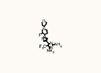 Nc1nc(N)c(C(F)(F)F)c(-c2cnn(C3CCN(C4CCOCC4)CC3F)c2)n1